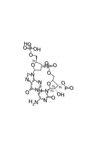 Nc1ccn([C@H]2OC(CO[PH](=O)O[C@@H]3CC(n4cnc5c(=O)[nH]cnc54)O[C@H]3COP(=O)(O)O)[C@H](OP=O)[C@@H]2O)c(=O)n1